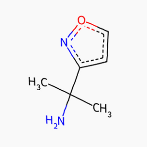 CC(C)(N)c1ccon1